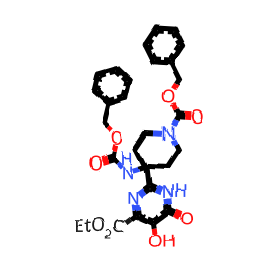 CCOC(=O)c1nc(C2(NC(=O)OCc3ccccc3)CCN(C(=O)OCc3ccccc3)CC2)[nH]c(=O)c1O